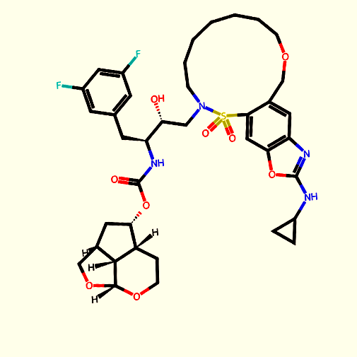 O=C(N[C@@H](Cc1cc(F)cc(F)c1)[C@H](O)CN1CCCCCCCOCc2cc3nc(NC4CC4)oc3cc2S1(=O)=O)O[C@H]1C[C@H]2CO[C@H]3OCC[C@@H]1[C@@H]23